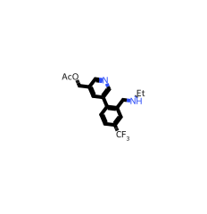 CCNCc1cc(C(F)(F)F)ccc1-c1cncc(COC(C)=O)c1